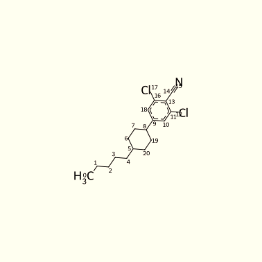 CCCCCC1CCC(c2cc(Cl)c(C#N)c(Cl)c2)CC1